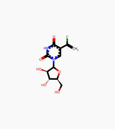 C=C(F)c1cn(C2O[C@@H](CO)[C@H](O)[C@H]2O)c(=O)[nH]c1=O